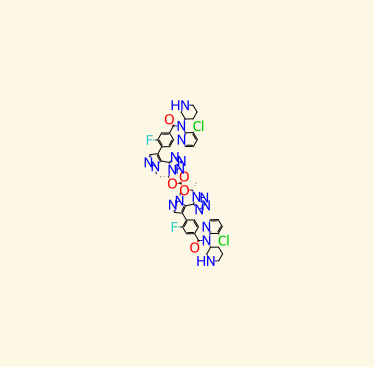 C[C@@H](OC(=O)O[C@H](C)n1nnnc1-c1c(-c2ccc(C(=O)N(c3ncccc3Cl)[C@@H]3CCCNC3)cc2F)cnn1C)n1nnnc1-c1c(-c2ccc(C(=O)N(c3ncccc3Cl)[C@@H]3CCCNC3)cc2F)cnn1C